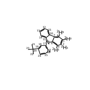 [2H]c1c([2H])c([2H])c2c(c1[2H])c1ccccc1n2-c1cc(C(C)(C)C)ccn1